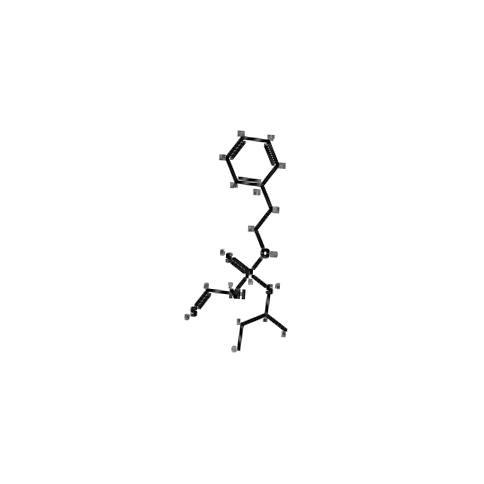 CCC(C)SP(=S)(NC=S)OCCc1ccccc1